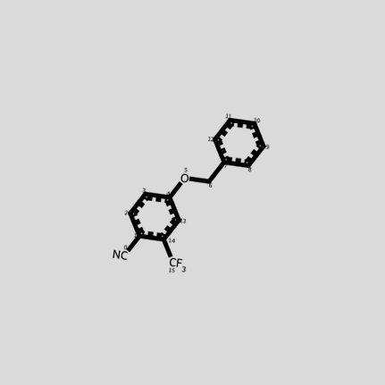 N#Cc1ccc(OCc2ccccc2)cc1C(F)(F)F